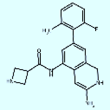 Cc1cccc(F)c1-c1cc2c(c(NC(=O)C3CNC3)c1)C=C(N)NC2